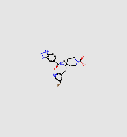 O=C(O)N1CCC2(CC1)CN(C(=O)c1ccc3[nH]nnc3c1)C2Cc1cncc(Br)c1